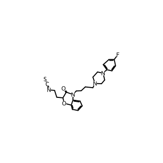 O=C1C(CCN=C=S)Oc2ccccc2N1CCCCN1CCN(c2ccc(F)cc2)CC1